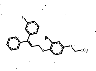 O=C(O)COc1ccc(SCC=C(c2ccccc2)c2cccc(F)c2)c(Br)c1